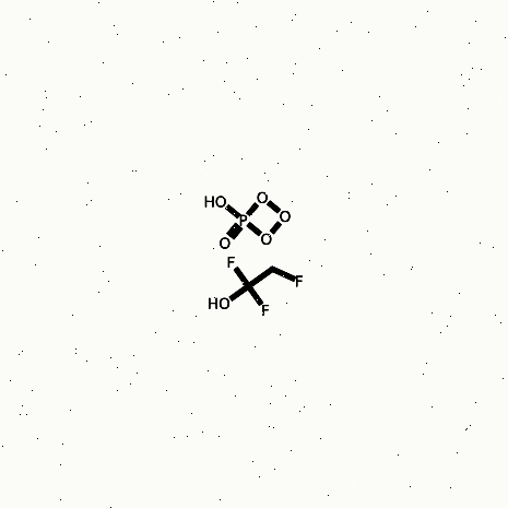 O=P1(O)OOO1.OC(F)(F)CF